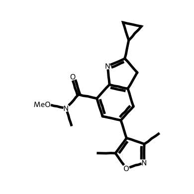 CON(C)C(=O)c1cc(-c2c(C)noc2C)cc2c1N=C(C1CC1)C2